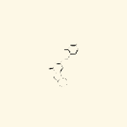 O=c1nc(OCc2ccc(F)cc2F)cc2n1C[C@@H]1COCCN21